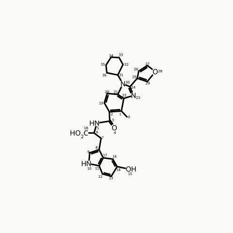 Cc1c(C(=O)NC(Cc2c[nH]c3ccc(O)cc23)C(=O)O)ccc2c1nc(-c1ccoc1)n2C1CCCCC1